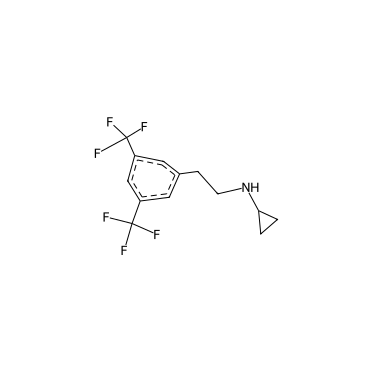 FC(F)(F)c1cc(CCNC2CC2)cc(C(F)(F)F)c1